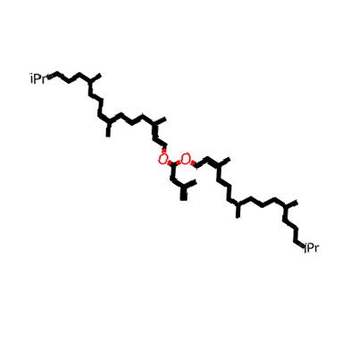 C=C(C)CC(OCC=C(C)CCCC(C)CCCC(C)CCCC(C)C)OCC=C(C)CCCC(C)CCCC(C)CCCC(C)C